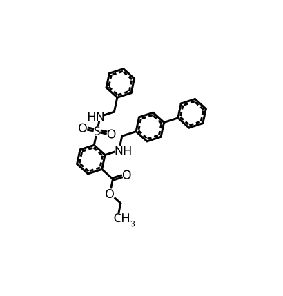 CCOC(=O)c1cccc(S(=O)(=O)NCc2ccccc2)c1NCc1ccc(-c2ccccc2)cc1